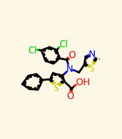 O=C(O)c1sc(-c2ccccc2)cc1N(Cc1cn[c]s1)C(=O)c1ccc(Cl)cc1Cl